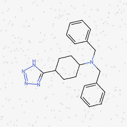 c1ccc(CN(Cc2ccccc2)C2CCC(c3nnn[nH]3)CC2)cc1